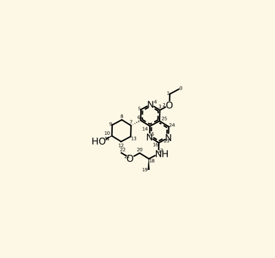 CCOc1ncc([C@H]2CC[C@H](O)CC2)c2nc(N[C@@H](C)COC)ncc12